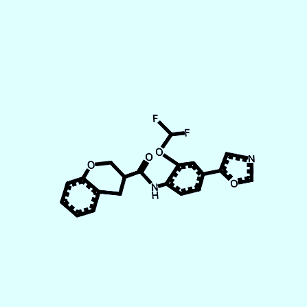 O=C(Nc1ccc(-c2cnco2)cc1OC(F)F)C1COc2ccccc2C1